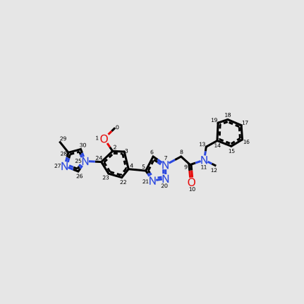 COc1cc(-c2cn(CC(=O)N(C)Cc3ccccc3)nn2)ccc1-n1cnc(C)c1